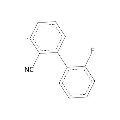 N#Cc1[c]cccc1-c1ccccc1F